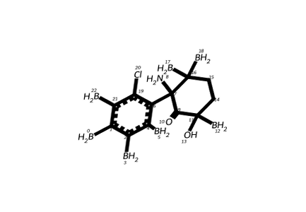 Bc1c(B)c(B)c(C2(N)C(=O)C(B)(O)CCC2(B)B)c(Cl)c1B